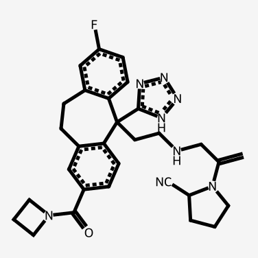 C=C(CNCCC1(c2nnn[nH]2)c2ccc(F)cc2CCc2cc(C(=O)N3CCC3)ccc21)N1CCCC1C#N